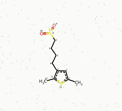 Cc1cc(CCCC[SH](=O)=O)c(C)s1